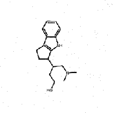 CN(C)CC(CCO)C1CCc2c1[nH]c1ccccc21